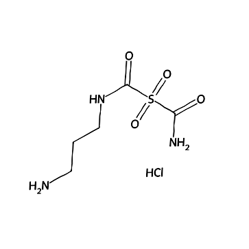 Cl.NCCCNC(=O)S(=O)(=O)C(N)=O